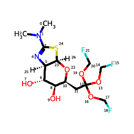 CN(C)C1=N[C@@H]2[C@@H](O)[C@H](O)[C@H](CC(OCF)(OCF)OCF)O[C@@H]2S1